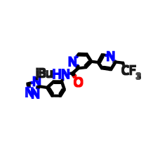 CCC(C)n1cnnc1-c1cccc(NC(=O)c2cc(-c3ccc(CC(F)(F)F)nc3)ccn2)c1